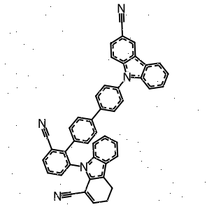 N#CC1=CCCc2c1n(-c1cccc(C#N)c1-c1ccc(-c3ccc(-n4c5ccccc5c5cc(C#N)ccc54)cc3)cc1)c1ccccc21